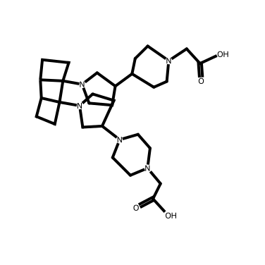 O=C(O)CN1CCC(C2CCN(C34CCC3C3CCC34N3CCC(N4CCN(CC(=O)O)CC4)C3)C2)CC1